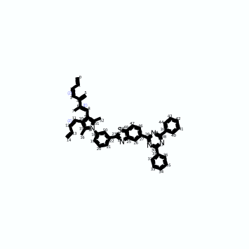 C=C/C=C\C(=C)/C(C)=C/c1c(/C=C\C=C)c(C)n(-c2cccc(-c3nc4cc(-c5nc(-c6ccccc6)nc(-c6ccccc6)n5)ccc4s3)c2)c1C